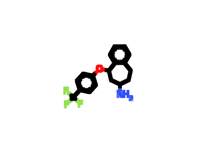 NC1CCc2ccccc2C(Oc2ccc(C(F)(F)F)cc2)C1